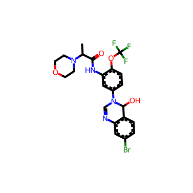 CC(C(=O)Nc1cc(N2C=Nc3cc(Br)ccc3C2O)ccc1OC(F)(F)F)N1CCOCC1